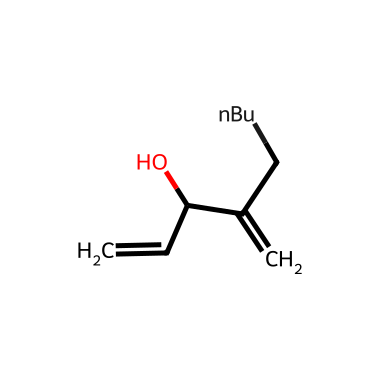 C=CC(O)C(=C)CCCCC